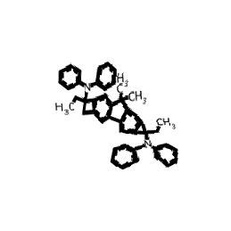 CCC1(N(c2ccccc2)c2ccccc2)Cc2cc3c(cc21)C(C)(C)c1cc2c(cc1-3)C2(CC)N(c1ccccc1)c1ccccc1